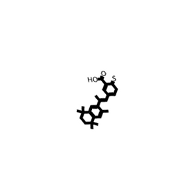 CC(=CC1=CCC(=S)C(C(=O)O)=C1)c1cc2c(cc1C)C(C)(C)CCC2(C)C